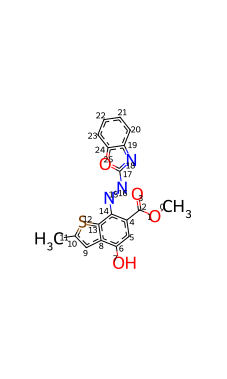 COC(=O)c1cc(O)c2cc(C)sc2c1/N=N/c1nc2ccccc2o1